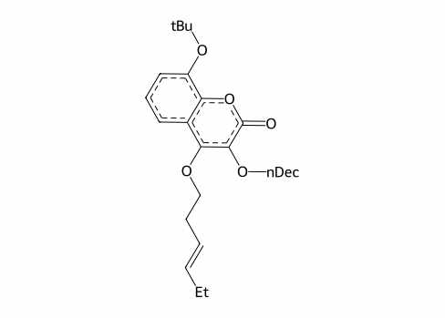 CCC=CCCOc1c(OCCCCCCCCCC)c(=O)oc2c(OC(C)(C)C)cccc12